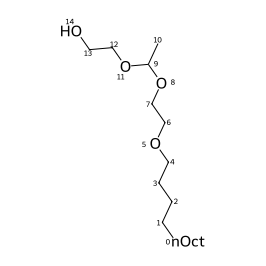 CCCCCCCCCCCCOCCOC(C)OCCO